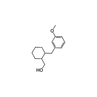 COc1cccc(CC2CCCCC2CO)c1